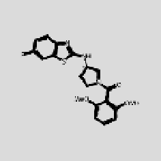 COc1cccc(OC)c1C(=O)N1CC[C@@H](Nc2nc3ccc(F)cc3s2)C1